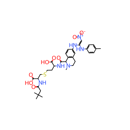 Cc1ccc(NC(=C[N+](=O)[O-])Nc2ccc3c(c2)CCN(C)C3C(=O)NC(CCSCC(NC(=O)CC(C)(C)C)C(=O)O)C(=O)O)cc1